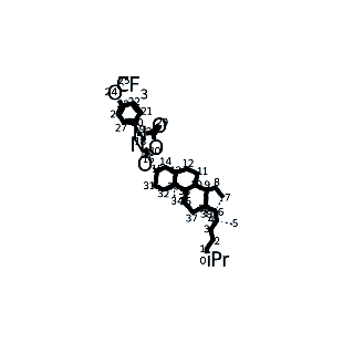 CC(C)CCC[C@@H](C)[C@H]1CCC2C3CCC4C[C@@H](Oc5nn(-c6ccc(OC(F)(F)F)cc6)c(=O)o5)CC[C@]4(C)C3CC[C@@]21C